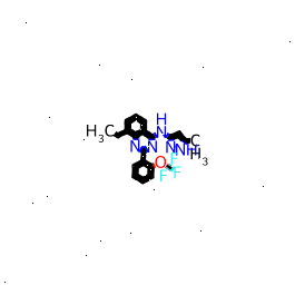 CCc1cccc2c(Nc3cc(C)[nH]n3)nc(-c3ccccc3OC(F)(F)F)nc12